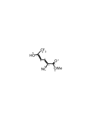 COC(=O)/C(C#N)=C/C=C(/O)C(F)(F)F